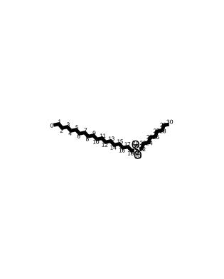 CCCCCCCCCCCCCCCCCC[CH]S(=O)(=O)CCCCCCCCC